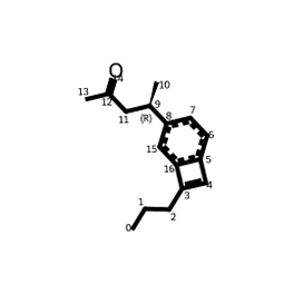 CCCC1=Cc2ccc([C@H](C)CC(C)=O)cc21